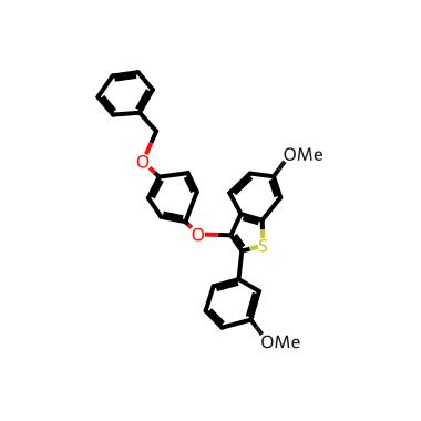 COc1cccc(-c2sc3cc(OC)ccc3c2Oc2ccc(OCc3ccccc3)cc2)c1